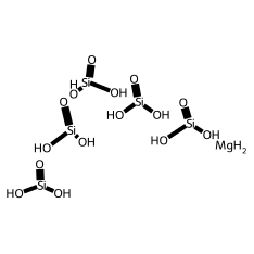 O=[Si](O)O.O=[Si](O)O.O=[Si](O)O.O=[Si](O)O.O=[Si](O)O.[MgH2]